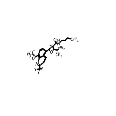 CCCCNC(=O)c1nc(-c2ccc(OC)c3nc(C(F)(F)F)ccc23)oc1[C@H](C)N